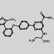 Cn1nccc1-c1ccccc1Oc1ccc(-c2nc(N[C@H](C=O)CN)cc(C(N)=O)n2)cc1